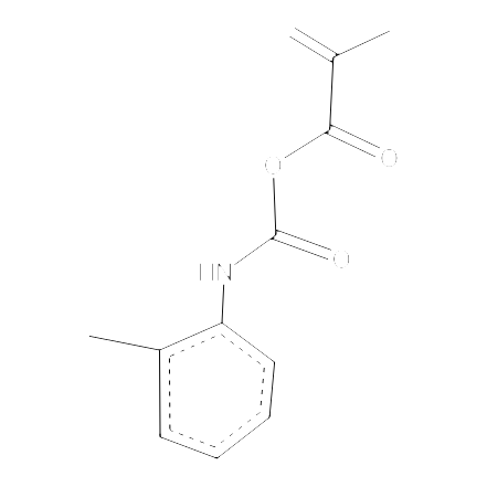 C=C(C)C(=O)OC(=O)Nc1ccccc1C